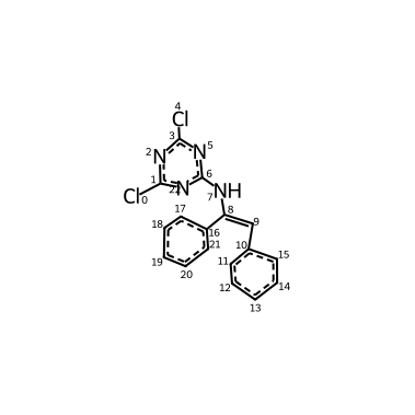 Clc1nc(Cl)nc(NC(=Cc2ccccc2)c2ccccc2)n1